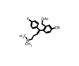 CC(=O)OCc1cc(C#N)ccc1/C(=C/CCN(C)C)c1ccc(F)cc1